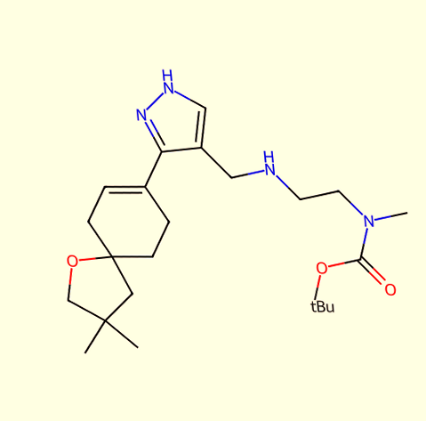 CN(CCNCc1c[nH]nc1C1=CCC2(CC1)CC(C)(C)CO2)C(=O)OC(C)(C)C